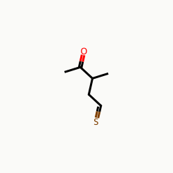 CC(=O)C(C)CC=S